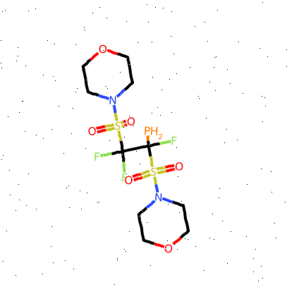 O=S(=O)(N1CCOCC1)C(F)(F)C(F)(P)S(=O)(=O)N1CCOCC1